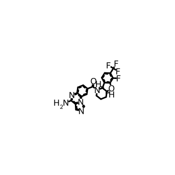 Nc1nc2ccc(C(=O)N3CCC[C@@H]4Oc5c(ccc(C(F)(F)F)c5F)[C@@H]43)cc2n2cncc12